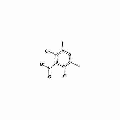 Cc1cc(F)c(Cl)c([N+](=O)[O-])c1Cl